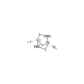 I[C@@]12CN[C@@H](CN1)C2